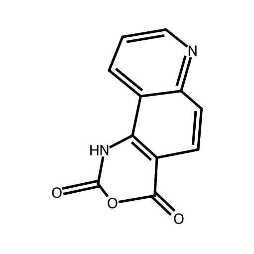 O=c1[nH]c2c(ccc3ncccc32)c(=O)o1